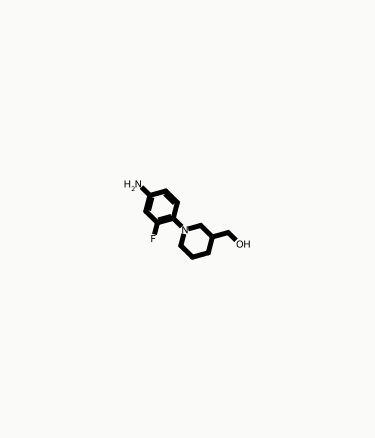 Nc1ccc(N2CCCC(CO)C2)c(F)c1